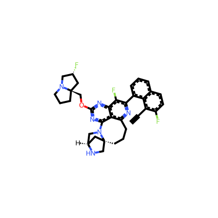 C#Cc1c(F)ccc2cccc(-c3nc4c5c(nc(OC[C@@]67CCCN6C[C@H](F)C7)nc5c3F)N3C[C@H]5C[C@]3(CCC4)CN5)c12